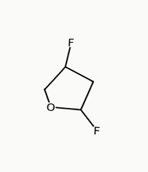 FC1COC(F)C1